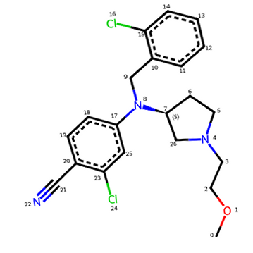 COCCN1CC[C@H](N(Cc2ccccc2Cl)c2ccc(C#N)c(Cl)c2)C1